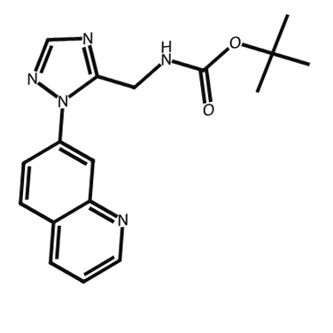 CC(C)(C)OC(=O)NCc1ncnn1-c1ccc2cccnc2c1